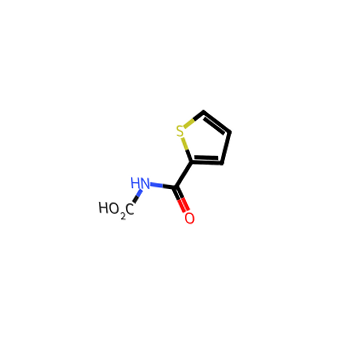 O=C(O)NC(=O)c1cccs1